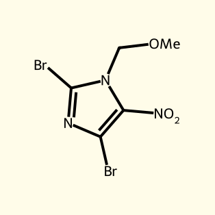 COCn1c(Br)nc(Br)c1[N+](=O)[O-]